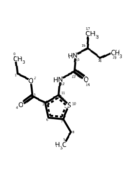 CCOC(=O)c1cc(CC)sc1NC(=O)NC(C)CC